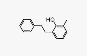 Cc1cccc(CCc2ccccc2)c1O